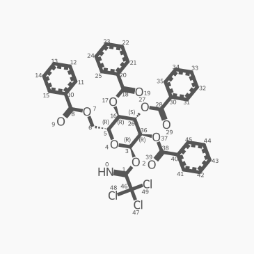 N=C(O[C@H]1O[C@H](COC(=O)c2ccccc2)[C@@H](OC(=O)c2ccccc2)[C@H](OC(=O)c2ccccc2)[C@H]1OC(=O)c1ccccc1)C(Cl)(Cl)Cl